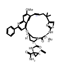 C=C[C@@H]1C[C@]1(NC(=O)[C@@H]1C[C@@H]2CN1C(=O)[C@H]([C@@H](C)CC)Nc1nc(cs1)C(C)(C)C/C=C/c1cc3c(cc(-c4ccccc4)nc3cc1OC)O2)C(N)=O